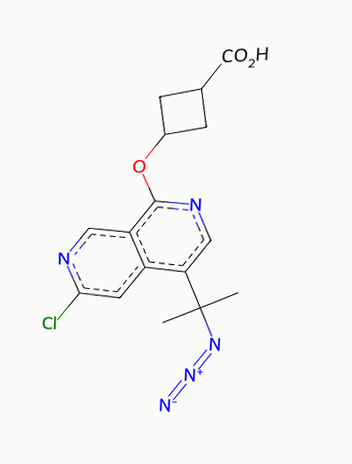 CC(C)(N=[N+]=[N-])c1cnc(OC2CC(C(=O)O)C2)c2cnc(Cl)cc12